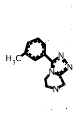 Cc1cccc(-c2nnc3n2CC[N]C3)c1